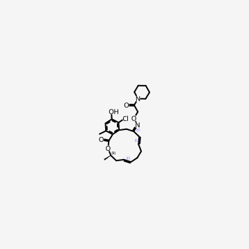 Cc1cc(O)c(Cl)c2c1C(=O)O[C@H](C)C/C=C/CC/C=C/C(=N/OCC(=O)N1CCCCC1)C2